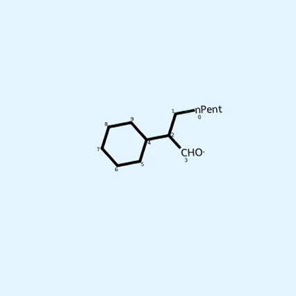 CCCCCCC([C]=O)C1CCCCC1